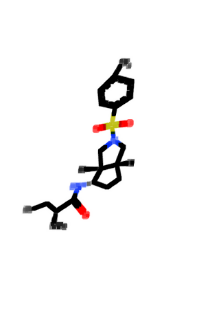 CN[C@@H](CC(C)C)C(=O)N[C@H]1CC[C@H]2CN(S(=O)(=O)c3ccc(C(F)(F)F)cc3)C[C@H]21